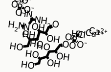 Cl.N=C(N)NN.O=CC(O)C(O)C(O)C(O)CO.O=CC(O)C(O)C(O)C(O)CO.O=P([O-])([O-])[O-].O=P([O-])([O-])[O-].[Ca+2].[Ca+2].[Ca+2]